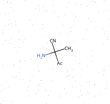 CC(=O)C(C)(N)C#N